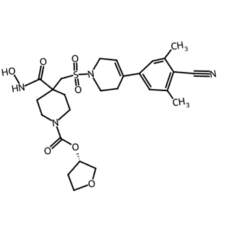 Cc1cc(C2=CCN(S(=O)(=O)CC3(C(=O)NO)CCN(C(=O)O[C@H]4CCOC4)CC3)CC2)cc(C)c1C#N